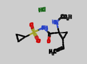 C=CC1CC1(NC(=O)O)C(=O)NS(=O)(=O)C1CC1.Cl